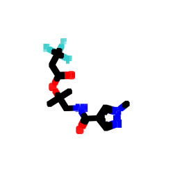 Cn1cc(C(=O)NCC(C)(C)OC(=O)CC(F)(F)F)cn1